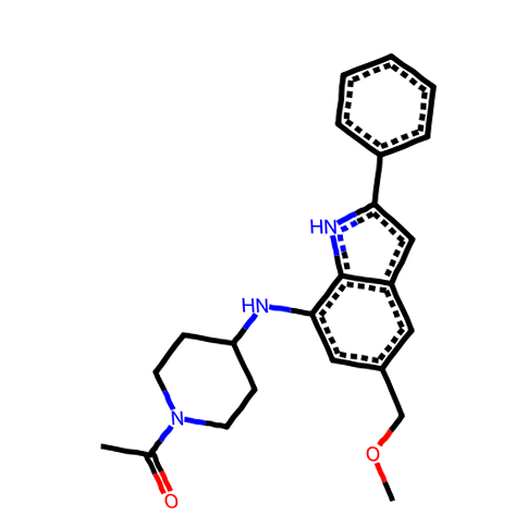 COCc1cc(NC2CCN(C(C)=O)CC2)c2[nH]c(-c3ccccc3)cc2c1